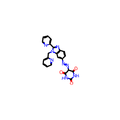 O=C1NC(=O)C(/N=N/c2ccc3nc(-c4ccccn4)n(Cc4ccccn4)c3c2)C(=O)N1